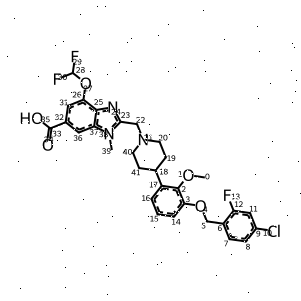 COc1c(OCc2ccc(Cl)cc2F)cccc1C1CCN(Cc2nc3c(OC(F)F)cc(C(=O)O)cc3n2C)CC1